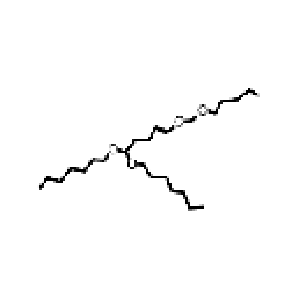 CCCCCCCOC(CCC=COCOCCCCC)OCCCCCCC